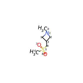 CN1CC(CS(C)(=O)=O)C1